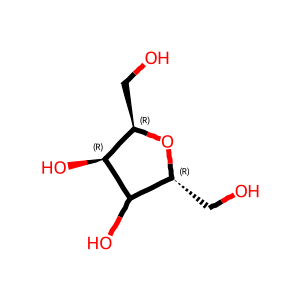 OC[C@H]1O[C@H](CO)[C@H](O)C1O